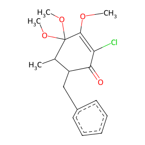 COC1=C(Cl)C(=O)C(Cc2ccccc2)C(C)C1(OC)OC